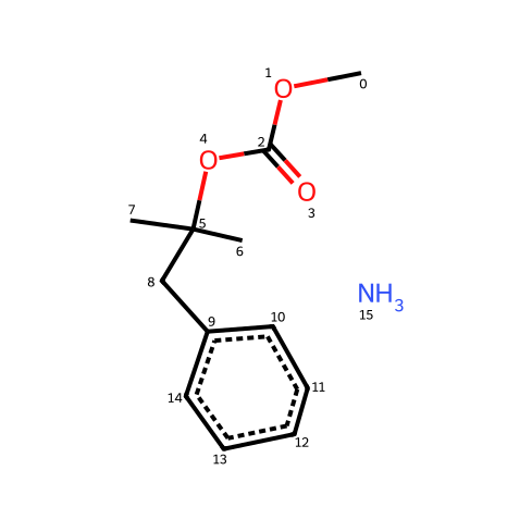 COC(=O)OC(C)(C)Cc1ccccc1.N